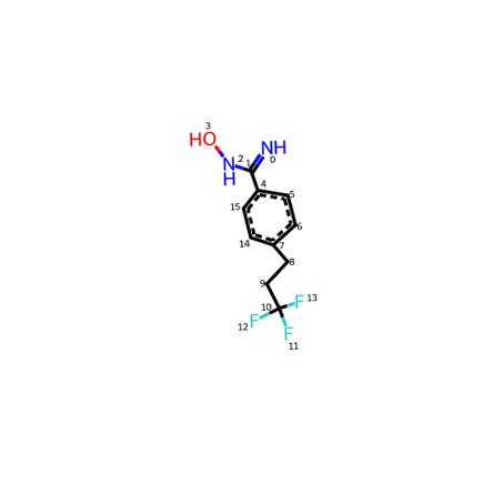 N=C(NO)c1ccc(CCC(F)(F)F)cc1